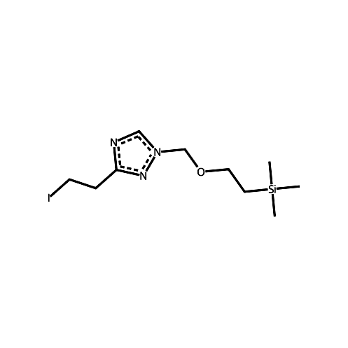 C[Si](C)(C)CCOCn1cnc(CCI)n1